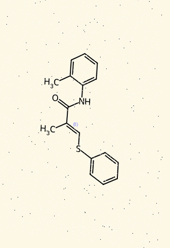 C/C(=C\Sc1ccccc1)C(=O)Nc1ccccc1C